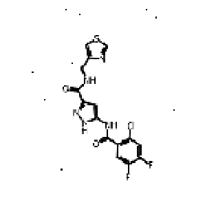 O=C(NCc1cscn1)c1cc(NC(=O)c2cc(F)c(F)cc2Cl)[nH]n1